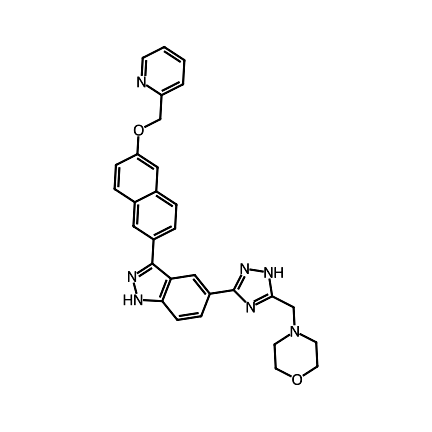 c1ccc(COc2ccc3cc(-c4n[nH]c5ccc(-c6n[nH]c(CN7CCOCC7)n6)cc45)ccc3c2)nc1